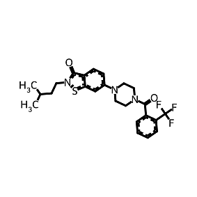 CC(C)CCn1sc2cc(N3CCN(C(=O)c4ccccc4C(F)(F)F)CC3)ccc2c1=O